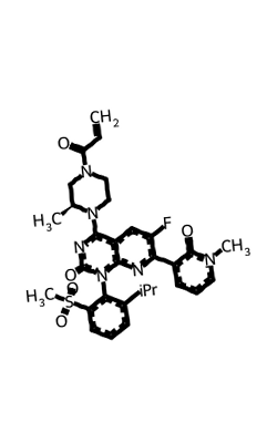 C=CC(=O)N1CCN(c2nc(=O)n(-c3c(C(C)C)cccc3S(C)(=O)=O)c3nc(-c4cccn(C)c4=O)c(F)cc23)[C@@H](C)C1